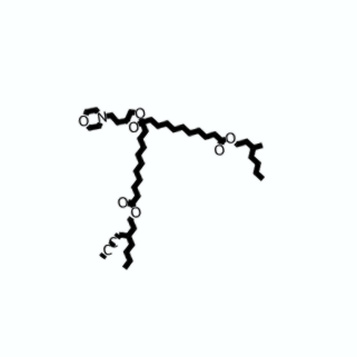 C=C=C=CC(CCCC)CCOC(=O)CCCCCCCCCC1(CCCCCCCCCC(=O)OCCC(C)CCCC)OCC(CCN2CCOCC2)O1